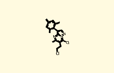 Cc1cc(C)c(-c2cnn3c(Cl)c(CCCl)c(C)nc23)c(C)c1